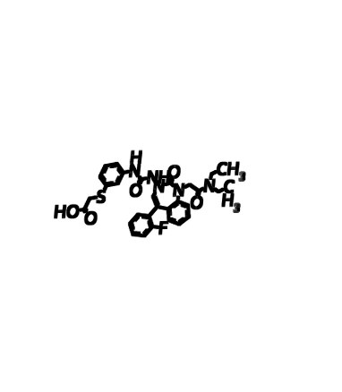 CCN(CC)C(=O)CN1C(=O)N(NC(=O)Nc2cccc(SCC(=O)O)c2)C=C(c2ccccc2F)c2ccccc21